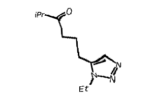 CCn1nncc1CCCC(=O)C(C)C